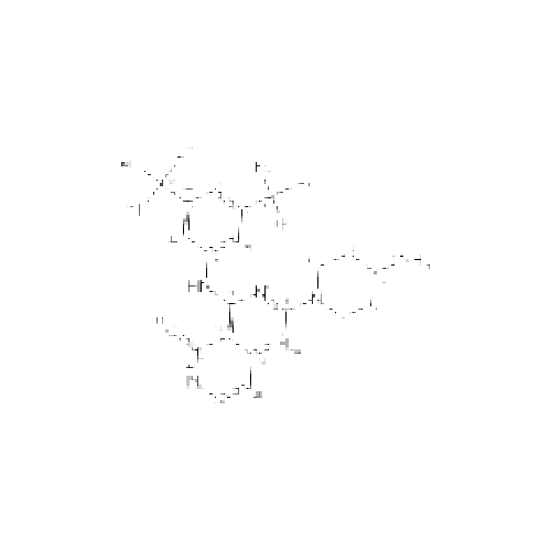 NC1CCN(c2nc(Nc3cc(C(F)(F)F)cc(C(F)(F)F)c3)c3c(=O)[nH]ccc3n2)CC1